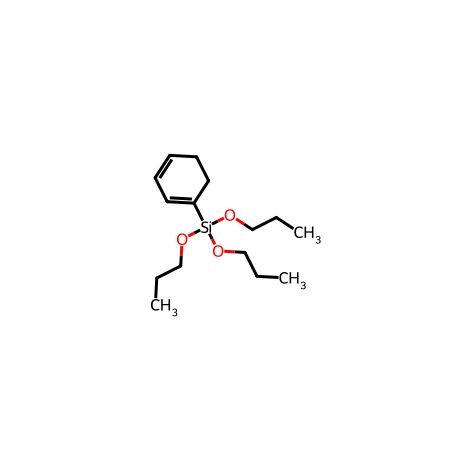 CCCO[Si](OCCC)(OCCC)C1=CC=CCC1